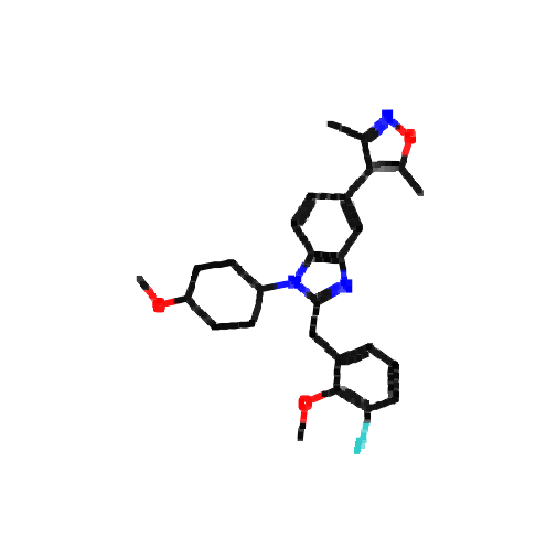 COc1c(F)cccc1Cc1nc2cc(-c3c(C)noc3C)ccc2n1C1CCC(OC)CC1